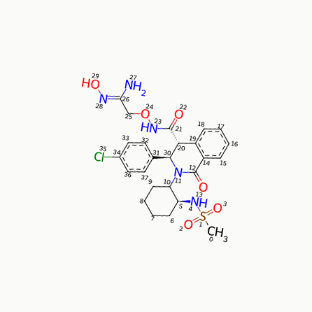 CS(=O)(=O)N[C@H]1CCCCC1N1C(=O)c2ccccc2[C@@H](C(=O)NOC/C(N)=N/O)[C@@H]1c1ccc(Cl)cc1